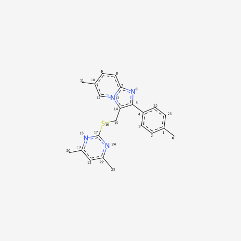 Cc1ccc(-c2nc3ccc(C)cn3c2CSc2nc(C)cc(C)n2)cc1